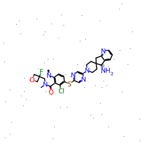 C=Nc1ccc(Sc2cnc(N3CCC4(CC3)Cc3ncccc3[C@H]4N)cn2)c(Cl)c1C(=O)N(C)CC1(F)COC1